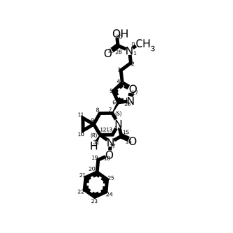 CN(CCc1cc([C@@H]2CC3(CC3)[C@@H]3CN2C(=O)N3OCc2ccccc2)no1)C(=O)O